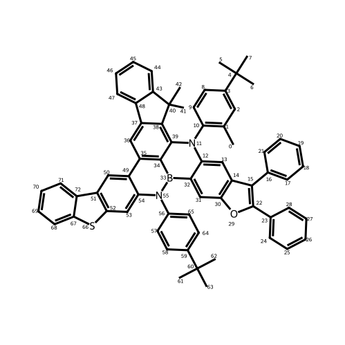 Cc1cc(C(C)(C)C)ccc1N1c2cc3c(-c4ccccc4)c(-c4ccccc4)oc3cc2B2c3c(cc4c(c31)C(C)(C)c1ccccc1-4)-c1cc3c(cc1N2c1ccc(C(C)(C)C)cc1)sc1ccccc13